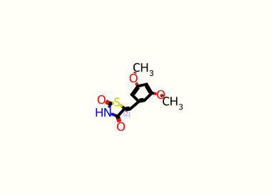 COc1cc(/C=C2\SC(=O)NC2=O)cc(OC)c1